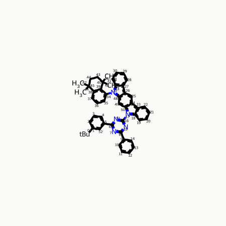 CC(C)(C)c1cccc(-c2nc(-c3ccccc3)nc(-n3c4ccccc4c4cc5c6ccccc6n(-c6cccc7c6C(C)(C)CCC7(C)C)c5cc43)n2)c1